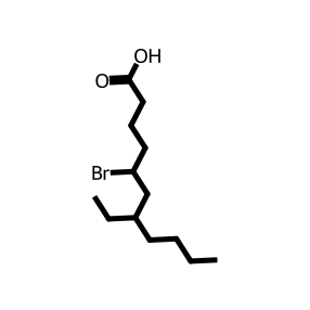 CCCCC(CC)CC(Br)CCCC(=O)O